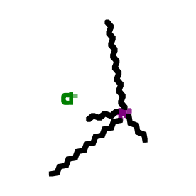 CCCCCCCCCCCCCCCC[P+](CCCCCC)(CCCCCC)CCCCCCCCCCCCCCCC.[Cl-]